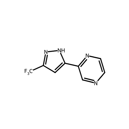 FC(F)(F)c1cc(-c2cnccn2)[nH]n1